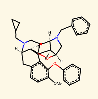 COc1ccc2c(c1Oc1ccccc1)[C@]13CCN(CC4CC4)[C@H](C2)[C@]12CC[C@@H]1[C@H]3[C@@H](CN1Cc1ccccc1)O2